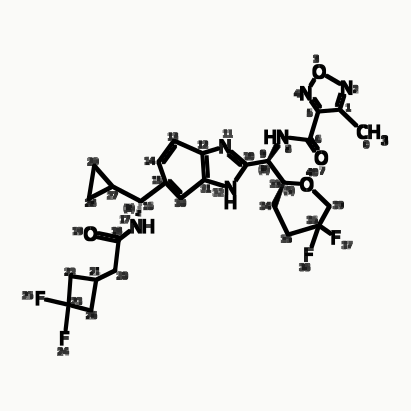 Cc1nonc1C(=O)N[C@H](c1nc2ccc([C@H](NC(=O)CC3CC(F)(F)C3)C3CC3)cc2[nH]1)[C@@H]1CCC(F)(F)CO1